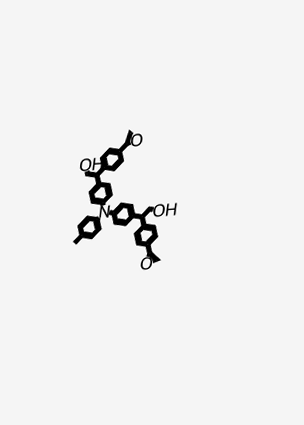 Cc1ccc(N(c2ccc(C(CO)c3ccc(C4CO4)cc3)cc2)c2ccc(C(CO)c3ccc(C4CO4)cc3)cc2)cc1